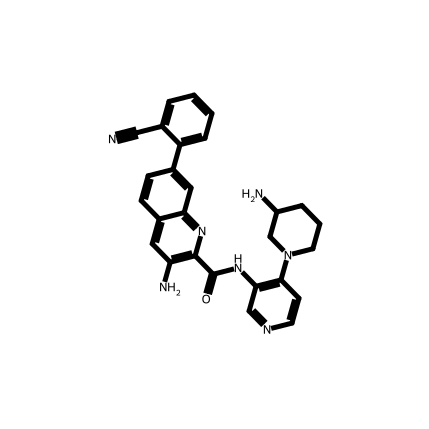 N#Cc1ccccc1-c1ccc2cc(N)c(C(=O)Nc3cnccc3N3CCCC(N)C3)nc2c1